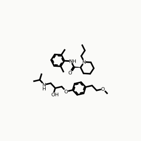 CCCN1CCCC[C@H]1C(=O)Nc1c(C)cccc1C.COCCc1ccc(OCC(O)CNC(C)C)cc1